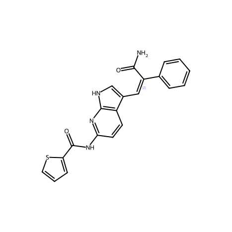 NC(=O)/C(=C\c1c[nH]c2nc(NC(=O)c3cccs3)ccc12)c1ccccc1